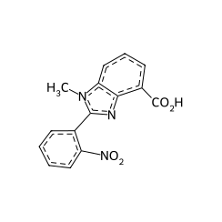 Cn1c(-c2ccccc2[N+](=O)[O-])nc2c(C(=O)O)cccc21